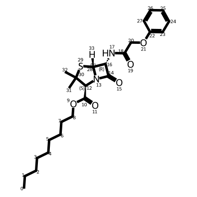 CCCCCCCCCOC(=O)[C@@H]1N2C(=O)[C@@H](NC(=O)COc3ccccc3)[C@H]2SC1(C)C